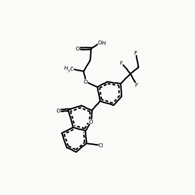 CC(CC(=O)O)Oc1cc(C(F)(F)CF)ccc1-c1cc(=O)c2cccc(Cl)c2o1